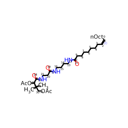 CCCCCCCC/C=C\CCCCCCCC(=O)NCCCCNC(=O)CCNC(=O)C(OC(C)=O)C(C)(C)COC(C)=O